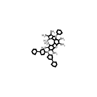 BC1=C(B)C(B)c2c1n(-c1ccccc1)c1c(B)c(B)c3oc4c(B)c(N(c5ccc(-c6ccccc6)cc5)c5ccc(-c6ccccc6)cc5)c(B)c(B)c4c3c21